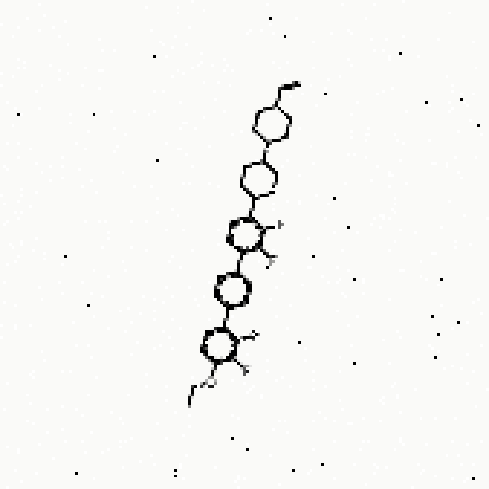 C=CC1CCC(C2CCC(c3ccc(-c4ccc(-c5ccc(OCC)c(F)c5F)cc4)c(F)c3F)CC2)CC1